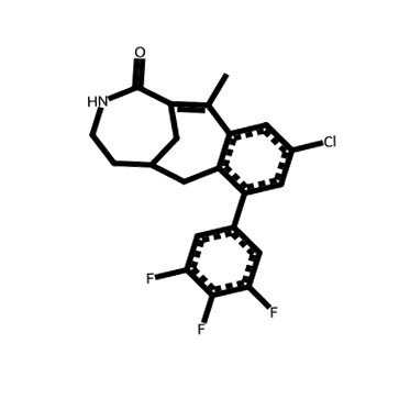 CC1=C2CC(CCNC2=O)Cc2c1cc(Cl)cc2-c1cc(F)c(F)c(F)c1